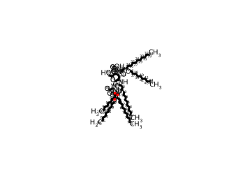 CCCCCCCCCCC[C@H](CC(=O)NC1CC(NC(=O)C[C@@H](CCCCCCCCCCC)OCCCCCCCCCC)[C@H](OP(=O)(O)O)C(CO)O[C@H]1OC[C@H](NC(=O)C[C@@H](CCCCCCCCCCC)OCCCCCCCCCC)C(=O)O)OCCCCCCCCCC